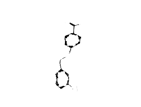 O=C(O)c1ccc(SCc2cccc(Cl)c2)cc1